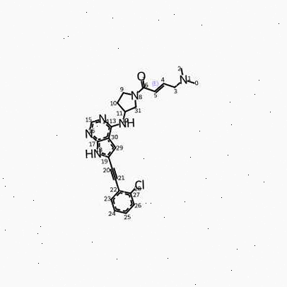 CN(C)C/C=C/C(=O)N1CCC(Nc2ncnc3[nH]c(C#Cc4ccccc4Cl)cc23)C1